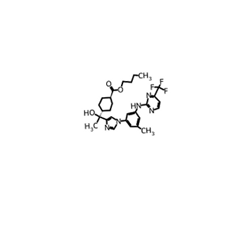 CCCCOC(=O)[C@H]1CC[C@H](C(C)(O)c2cn(-c3cc(C)cc(Nc4nccc(C(F)(F)F)n4)c3)cn2)CC1